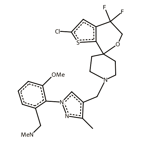 CNCc1cccc(OC)c1-n1cc(CN2CCC3(CC2)OCC(F)(F)c2cc(Cl)sc23)c(C)n1